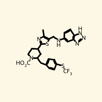 Cc1nc(C2CCN(C(=O)O)C(Cc3ccc(SC(F)(F)F)cc3)C2)sc1CNc1ccc2[nH]nnc2c1